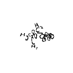 C=C(C)C(=O)OC(C)COP(=O)(O)Oc1ccccc1